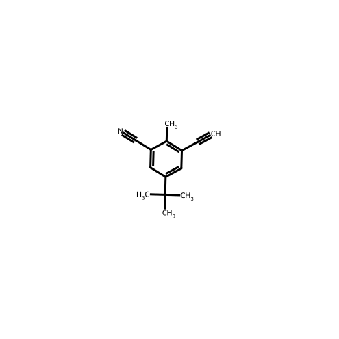 C#Cc1cc(C(C)(C)C)cc(C#N)c1C